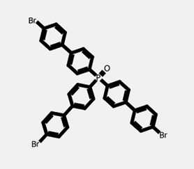 O=P(c1ccc(-c2ccc(Br)cc2)cc1)(c1ccc(-c2ccc(Br)cc2)cc1)c1ccc(-c2ccc(Br)cc2)cc1